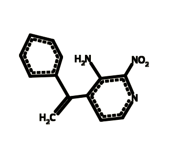 C=C(c1ccccc1)c1ccnc([N+](=O)[O-])c1N